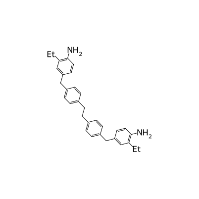 CCc1cc(Cc2ccc(CCc3ccc(Cc4ccc(N)c(CC)c4)cc3)cc2)ccc1N